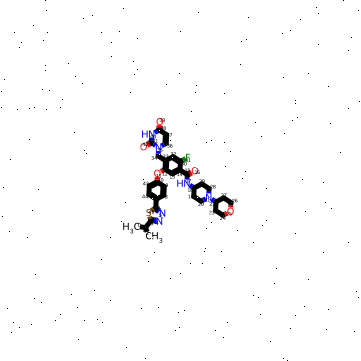 CC(C)c1nnc(-c2ccc(Oc3cc(C(=O)NC4CCN(C5CCOCC5)CC4)c(F)cc3Cn3ccc(=O)[nH]c3=O)cc2)s1